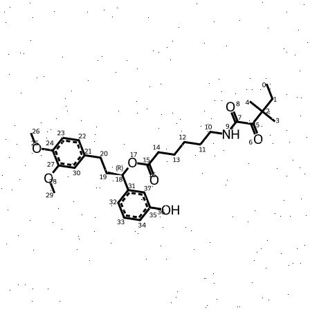 CCC(C)(C)C(=O)C(=O)NCCCCCC(=O)O[C@H](CCc1ccc(OC)c(OC)c1)c1cccc(O)c1